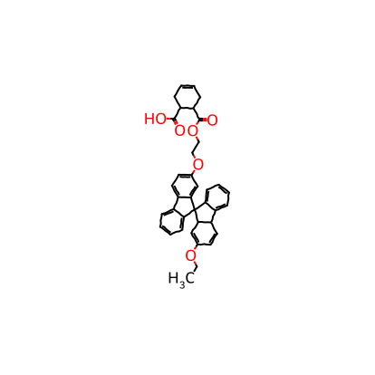 CCOC1=CC2C(C=C1)c1ccccc1C21c2ccccc2-c2ccc(OCCOC(=O)C3CC=CCC3C(=O)O)cc21